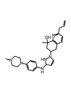 C=CCc1ccc2c(n1)C(C)(O)CC(N1C=CC(Nc3ccc(N4CCN(C)CC4)cc3)N1)C2